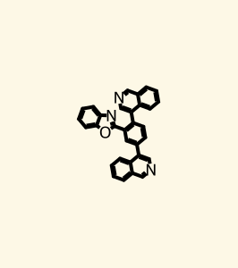 c1ccc2c(-c3ccc(-c4cncc5ccccc45)c(-c4nc5ccccc5o4)c3)cncc2c1